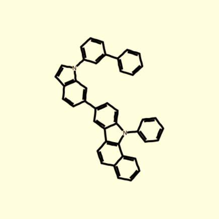 c1ccc(-c2cccc(-n3ccc4ccc(-c5ccc6c(c5)c5ccc7ccccc7c5n6-c5ccccc5)cc43)c2)cc1